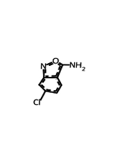 Nc1onc2cc(Cl)ccc12